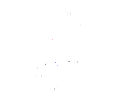 CC(C)=CCOC1C[C@@H](C)N(CC(C)C)[C@@H](C)C1